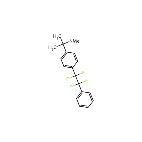 CNC(C)(C)c1ccc(C(F)(F)C(F)(F)c2ccccc2)cc1